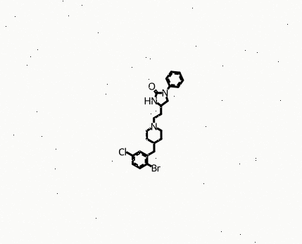 O=C1NC(CCN2CCC(Cc3cc(Cl)ccc3Br)CC2)CN1c1ccccc1